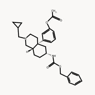 CC(=O)Oc1cccc([C@@]23CCN(CC4CC4)C[C@H]2CC[C@@H](NC(=O)OCc2ccccc2)C3)c1